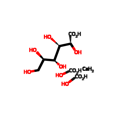 O=C(O)O.O=C(O)O.O=C(O)[C@H](O)[C@@H](O)[C@H](O)[C@H](O)CO.[CaH2]